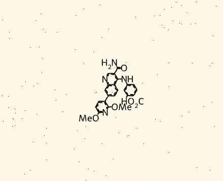 COc1ccc(-c2ccc3c(Nc4cccc(C(=O)O)c4)c(C(N)=O)cnc3c2)c(OC)n1